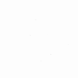 COc1ccc(-c2cccc(C(C)=O)c2)cc1CN(C(=O)c1sc2cccc(F)c2c1Cl)C1CCC(C(NC(=O)O)C(C)(C)C)CC1